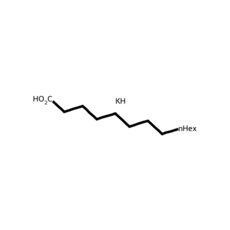 CCCCCCCCCCCCCC(=O)O.[KH]